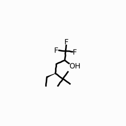 CC[C@@H](CC(O)C(F)(F)F)C(C)(C)C